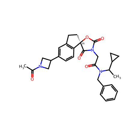 CC(=O)N1CC(c2ccc3c(c2)CC[C@@]32OC(=O)N(CC(=O)N(Cc3ccccc3)C(C)C3CC3)C2=O)C1